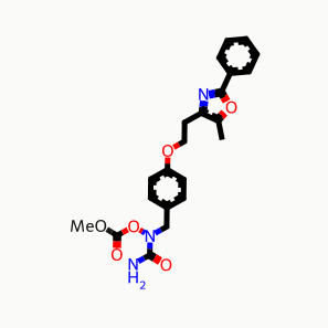 COC(=O)ON(Cc1ccc(OCCc2nc(-c3ccccc3)oc2C)cc1)C(N)=O